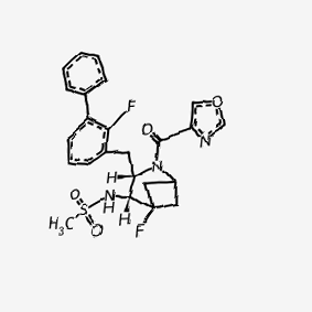 CS(=O)(=O)N[C@@H]1[C@H](Cc2cccc(-c3ccccc3)c2F)N(C(=O)c2cocn2)C2CC1(F)C2